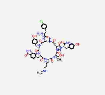 CNCCCC[C@@H]1NC(=O)[C@@H](Cc2ccc(C(N)=O)cc2)NC(=O)[C@H](Cc2ccc(O)cc2)NC(=O)[C@H](NC(=O)[C@@H](N)Cc2ccc(Cl)cc2)CNC(=O)C[C@@H](C(=O)N[C@H](Cc2ccc(O)cc2)C(N)=O)NC(=O)[C@H]([C@@H](C)O)NC1=O